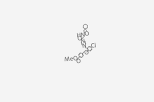 COC(=O)c1ccc(COc2ccc(Cl)cc2CN2CCN(C(=O)CNC(=O)CC3(C)CCCCC3)CC2)cc1